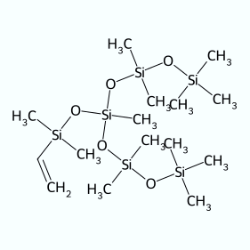 C=C[Si](C)(C)O[Si](C)(O[Si](C)(C)O[Si](C)(C)C)O[Si](C)(C)O[Si](C)(C)C